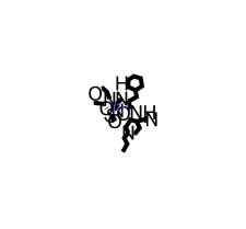 CCCN1CCC(C#N)(NC(=O)C(CC2CCCCC2)N/C(=N/S(C)(=O)=O)N2CCOCC2)CC1